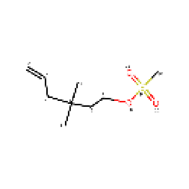 C=CCC(C)(C)CCOS(C)(=O)=O